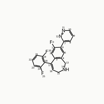 Fc1cc2c(cc1-c1cccnn1)CNCC=C2c1c(F)cccc1F